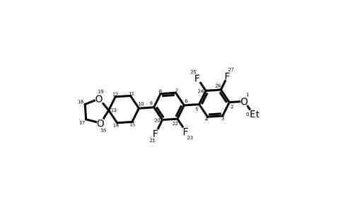 CCOc1ccc(-c2ccc(C3CCC4(CC3)OCCO4)c(F)c2F)c(F)c1F